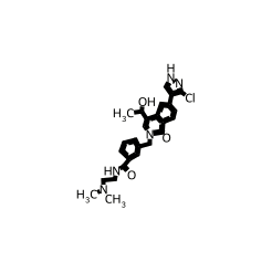 CC(O)c1cn(Cc2cccc(C(=O)NCCN(C)C)c2)c(=O)c2ccc(-c3c[nH]nc3Cl)cc12